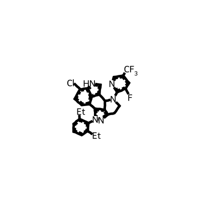 CCc1cccc(CC)c1-n1nc2c3c1-c1ccc(Cl)c4[nH]cc(c14)C3N(c1ncc(C(F)(F)F)cc1F)CC2